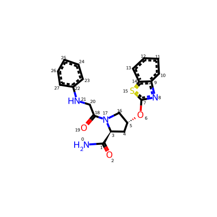 NC(=O)[C@@H]1C[C@@H](Oc2nc3ccccc3s2)CN1C(=O)CNc1ccccc1